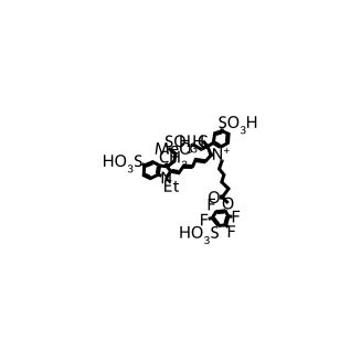 CCN1/C(=C/C=C/C=C/C2=[N+](CCCCCC(=O)Oc3c(F)c(F)c(S(=O)(=O)O)c(F)c3F)c3ccc(S(=O)(=O)O)cc3C2(C)CCOC)C(C)(CCCS(=O)(=O)O)c2cc(S(=O)(=O)O)ccc21